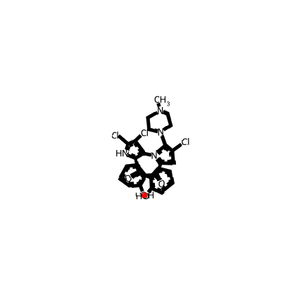 CN1CCN(c2c(Cl)cc(C(=O)c3ccccc3O)n2-c2c(C(=O)c3ccccc3O)[nH]c(Cl)c2Cl)CC1